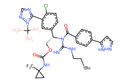 BC(B)(B)n1ncnc1-c1cc([C@@H](COC(=O)NC2(C(F)(F)F)CC2)N(C(=N)NCCC(C)(C)C)C(=O)c2ccc(-c3ccn[nH]3)cc2)ccc1Cl